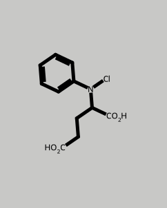 O=C(O)CCC(C(=O)O)N(Cl)c1ccccc1